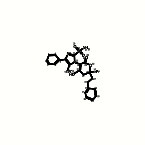 CCCc1c(-c2ccccc2)nc(S(N)(=O)=O)n1C1=C(O)CC(CCC)(CCc2ccccc2)OC1=O